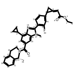 CCOC(=O)/C=C1/CC1c1ccc(-c2nc3c(C4CC4)cc(C(=O)N4CCc5ccccc5[C@H]4C)cc3n2C)c(F)c1